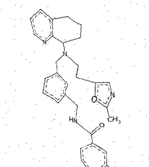 Cc1ncc(CCN(Cc2cccc(CNC(=O)c3ccnc(Cl)c3)c2)C2CCCc3cccnc32)o1